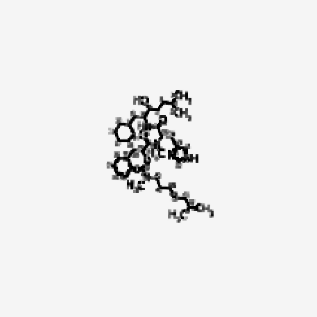 CC(C)CC[C@H](O)[C@H](CC1CCCCC1)NC(=O)[C@H](Cc1c[nH]cn1)N(C)C(=O)[C@H](Cc1ccccc1)OC(=O)N(C)CCCSCC(C)C